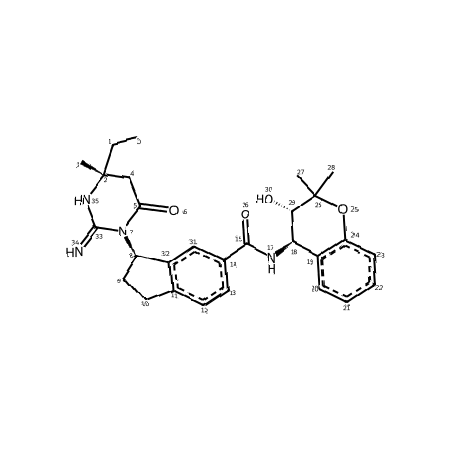 CC[C@]1(C)CC(=O)N([C@@H]2CCc3ccc(C(=O)N[C@@H]4c5ccccc5OC(C)(C)[C@H]4O)cc32)C(=N)N1